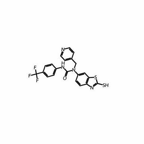 O=C(Nc1ccc(C(F)(F)F)cc1)N(Cc1ccncc1)c1ccc2nc(S)sc2c1